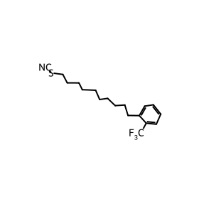 N#CSCCCCCCCCCCc1ccccc1C(F)(F)F